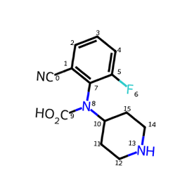 N#Cc1cccc(F)c1N(C(=O)O)C1CCNCC1